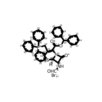 O=CN[C@@H]1C(=O)N2C(C(=O)OC(c3ccccc3)c3ccccc3)=C(C[P+](c3ccccc3)(c3ccccc3)c3ccccc3)CS[C@H]12.[Br-]